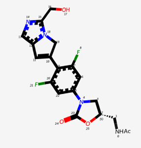 CC(=O)NC[C@H]1CN(c2cc(F)c(C3=Cc4cnc(CO)n4C3)c(F)c2)C(=O)O1